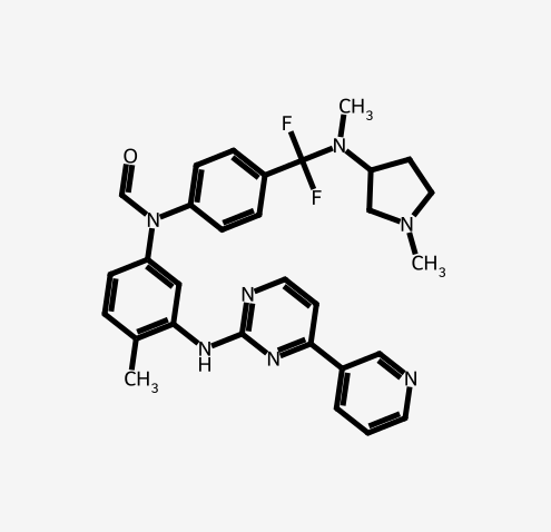 Cc1ccc(N(C=O)c2ccc(C(F)(F)N(C)C3CCN(C)C3)cc2)cc1Nc1nccc(-c2cccnc2)n1